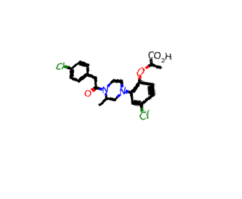 CC(Oc1ccc(Cl)cc1N1CCN(C(=O)Cc2ccc(Cl)cc2)C(C)C1)C(=O)O